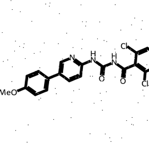 COc1ccc(-c2ccc(NC(=O)NC(=O)c3c(Cl)cccc3Cl)nc2)cc1